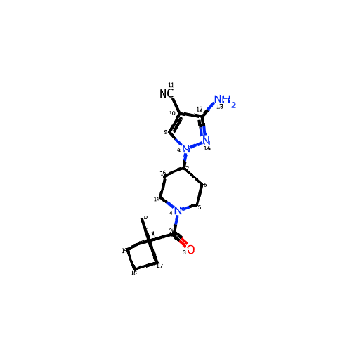 CC1(C(=O)N2CCC(n3cc(C#N)c(N)n3)CC2)CCC1